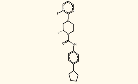 C[C@@H]1CN(c2ncccc2F)CCN1C(=O)Nc1ccc(C2CCCC2)cc1